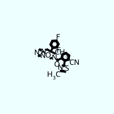 Cc1csc(-c2c(C#N)cccc2C(=O)N2COC(Cn3cncn3)(c3ccc(F)cc3F)C2C)n1